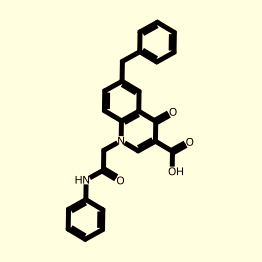 O=C(Cn1cc(C(=O)O)c(=O)c2cc(Cc3ccccc3)ccc21)Nc1ccccc1